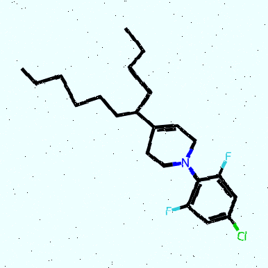 CCCCCCC(CCCC)C1=CCN(c2c(F)cc(Cl)cc2F)CC1